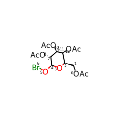 CC(=O)OC[C@H]1O[C@@H](OBr)[C@H](OC(C)=O)[C@@H](OC(C)=O)[C@H]1OC(C)=O